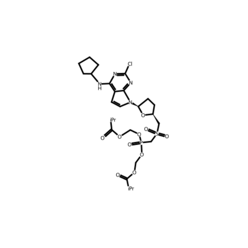 CC(C)C(=O)OCOP(=O)(CS(=O)(=O)C[C@@H]1CC[C@H](n2ccc3c(NC4CCCC4)nc(Cl)nc32)O1)OCOC(=O)C(C)C